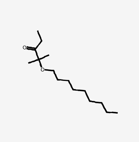 CCCCCCCCCOC(C)(C)C(=O)CC